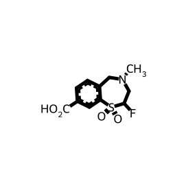 CN1Cc2ccc(C(=O)O)cc2S(=O)(=O)C(F)C1